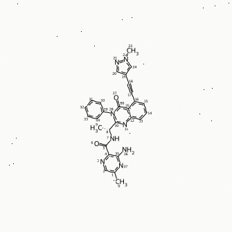 Cc1cnc(C(=O)N[C@H](C)c2nc3cccc(C#Cc4cnn(C)c4)c3c(=O)n2-c2ccccc2)c(N)n1